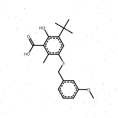 COc1cccc(CSc2cc(C(C)(C)C)c(O)c(C(=O)O)c2C)c1